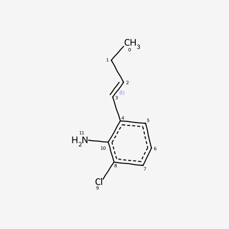 CC/C=C/c1cccc(Cl)c1N